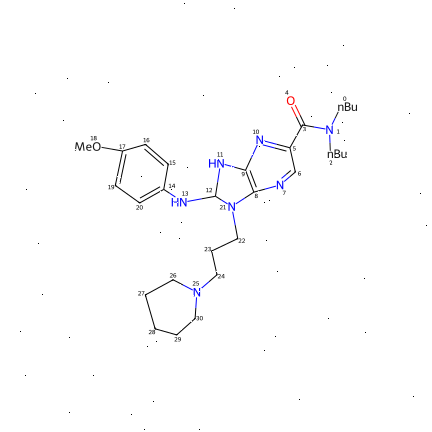 CCCCN(CCCC)C(=O)c1cnc2c(n1)NC(Nc1ccc(OC)cc1)N2CCCN1CCCCC1